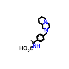 C[C@H](NC(=O)O)c1ccc(CN2CCN3CCCCC3C2)cc1